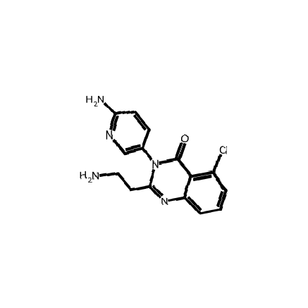 NCCc1nc2cccc(Cl)c2c(=O)n1-c1ccc(N)nc1